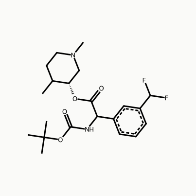 CC1CCN(C)C[C@@H]1OC(=O)C(NC(=O)OC(C)(C)C)c1cccc(C(F)F)c1